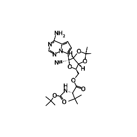 CC(C)(C)OC(=O)N[C@H](C(=O)OC[C@H]1O[C@@](C#N)(c2ccc3c(N)ncnn23)[C@@H]2OC(C)(C)O[C@@H]21)C(C)(C)C